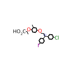 Cc1cc(OC/C=C(/c2ccc(Cl)cc2)c2ccc(I)cc2)ccc1OC(C)C(=O)O